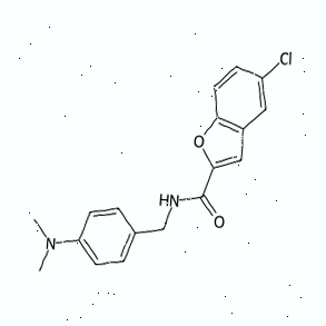 CN(C)c1ccc(CNC(=O)c2cc3cc(Cl)ccc3o2)cc1